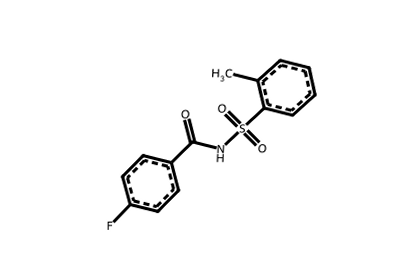 Cc1ccccc1S(=O)(=O)NC(=O)c1ccc(F)cc1